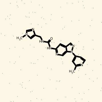 Cc1cc(-n2ncc3cc(NC(=O)NCc4cn(C)cn4)ncc32)ccn1